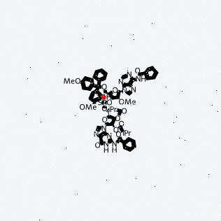 COc1ccc(C(OC[C@H]2O[C@@H](n3cnc4c(NC(=O)c5ccccc5)ncnc43)[C@H](OC)[C@@H]2O[P@](O)(=S)OC[C@H]2O[C@@H](n3cnc4c(=O)[nH]c(NC(=O)c5ccccc5)nc43)[C@H](OC(=O)C(C)C)[C@@H]2OC(=O)C(C)C)(c2ccccc2)c2ccc(OC)cc2)cc1